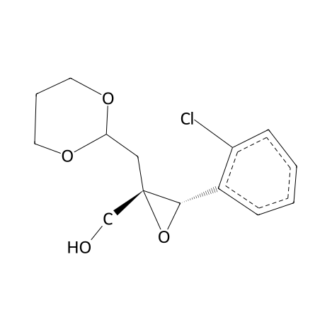 OC[C@]1(CC2OCCCO2)O[C@H]1c1ccccc1Cl